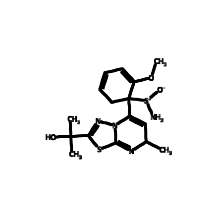 COC1=CC=CCC1(C1=CC(C)N=C2SC(C(C)(C)O)=NN12)[S+](N)[O-]